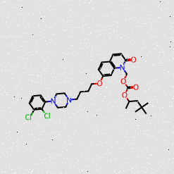 CC(CC(C)(C)C)OC(=O)OCn1c(=O)ccc2ccc(OCCCCN3CCN(c4cccc(Cl)c4Cl)CC3)cc21